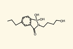 CCCc1ccc2c(c1)C(=O)N(CCCCO)S2(O)O